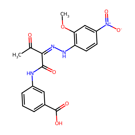 COc1cc([N+](=O)[O-])ccc1N/N=C(/C(C)=O)C(=O)Nc1cccc(C(=O)O)c1